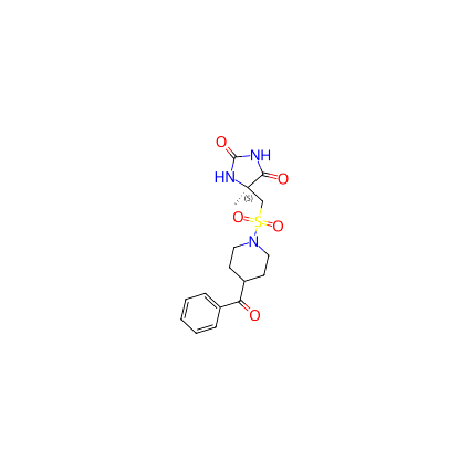 C[C@]1(CS(=O)(=O)N2CCC(C(=O)c3ccccc3)CC2)NC(=O)NC1=O